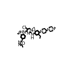 CCc1cc(Nc2ncc(Cl)c(Nc3ccc(-c4nnc(C)o4)cc3P(C)C)n2)c(OC)cc1N1CCC(N2CCN(C)CC2)CC1